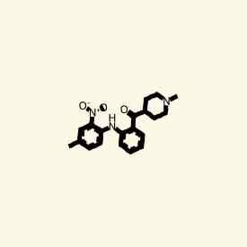 Cc1ccc(Nc2ccccc2C(=O)C2CCN(C)CC2)c([N+](=O)[O-])c1